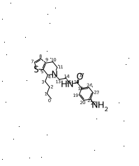 CCCCC1c2sccc2CCN1CCNC(=O)c1ccc(N)cc1